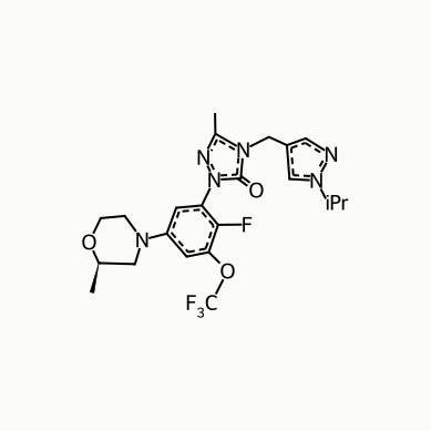 Cc1nn(-c2cc(N3CCO[C@H](C)C3)cc(OC(F)(F)F)c2F)c(=O)n1Cc1cnn(C(C)C)c1